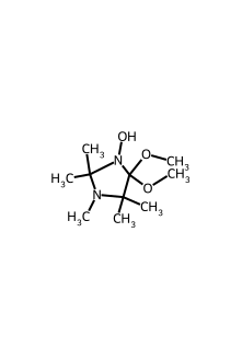 COC1(OC)N(O)C(C)(C)N(C)C1(C)C